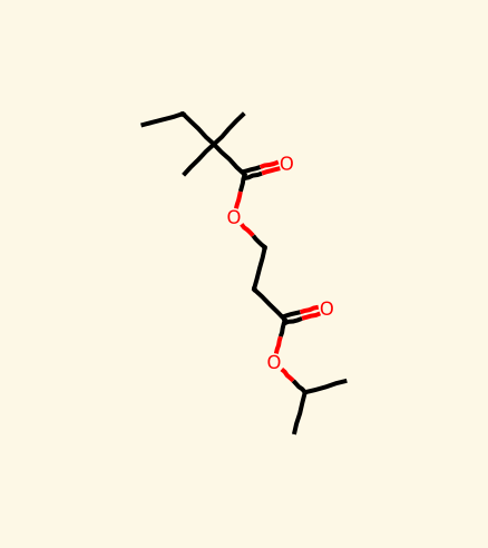 CCC(C)(C)C(=O)OCCC(=O)OC(C)C